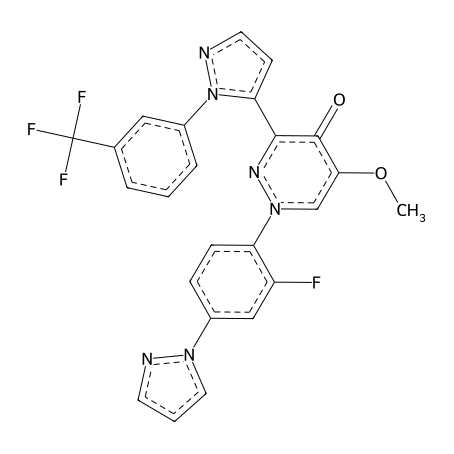 COc1cn(-c2ccc(-n3cccn3)cc2F)nc(-c2ccnn2-c2cccc(C(F)(F)F)c2)c1=O